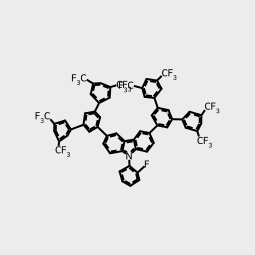 Fc1ccccc1-n1c2ccc(-c3cc(-c4cc(C(F)(F)F)cc(C(F)(F)F)c4)cc(-c4cc(C(F)(F)F)cc(C(F)(F)F)c4)c3)cc2c2cc(-c3cc(-c4cc(C(F)(F)F)cc(C(F)(F)F)c4)cc(-c4cc(C(F)(F)F)cc(C(F)(F)F)c4)c3)ccc21